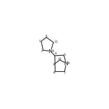 C1CCN(C2CN3CCC2C3)C1